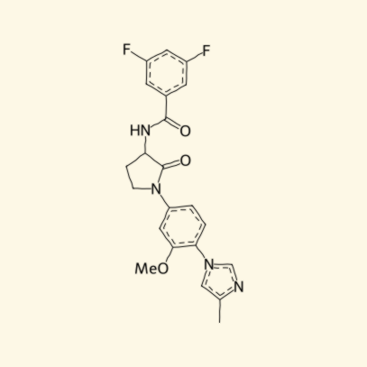 COc1cc(N2CCC(NC(=O)c3cc(F)cc(F)c3)C2=O)ccc1-n1cnc(C)c1